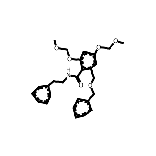 COCOc1cc(COCc2ccccc2)c(C(=O)NCCc2ccccc2)c(OCOC)c1